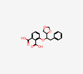 O=C(O)c1cccc(OC(Cc2ccccc2)C2COCO2)c1C(=O)O